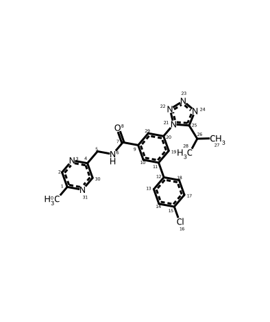 Cc1cnc(CNC(=O)c2cc(-c3ccc(Cl)cc3)cc(-n3nnnc3C(C)C)c2)cn1